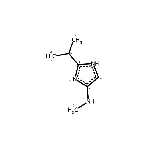 CNc1c[nH]c(C(C)C)n1